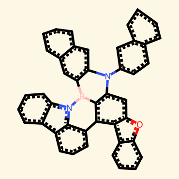 c1ccc2cc(N3c4cc5ccccc5cc4B4c5c3cc3oc6ccccc6c3c5-c3cccc5c6ccccc6n4c35)ccc2c1